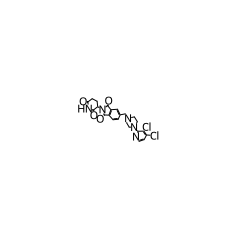 O=C1CCC(N2C(=O)c3ccc(CN4CCN(c5nccc(Cl)c5Cl)CC4)cc3C2=O)C(=O)N1